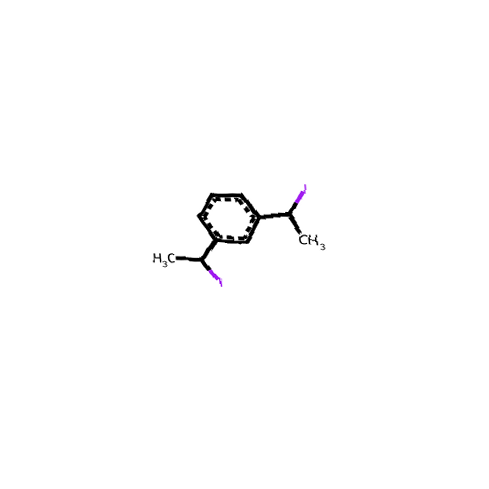 CC(I)c1cccc(C(C)I)c1